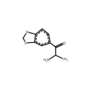 CC(N)C(=O)c1ccc2c(c1)OCO2